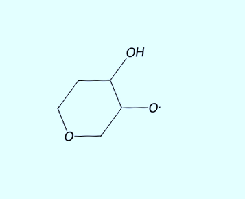 [O]C1COCCC1O